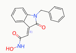 O=C(/C=C1/C(=O)N(Cc2ccccc2)c2ccccc21)NO